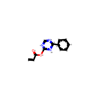 C=CC(=O)Oc1ncnc(-c2ccccc2)n1